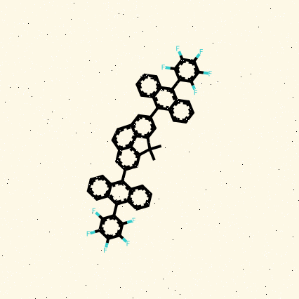 CC1(C)c2cc(-c3c4ccccc4c(-c4c(F)c(F)c(F)c(F)c4F)c4ccccc34)cc3ccc4cc(-c5c6ccccc6c(-c6c(F)c(F)c(F)c(F)c6F)c6ccccc56)cc1c4c23